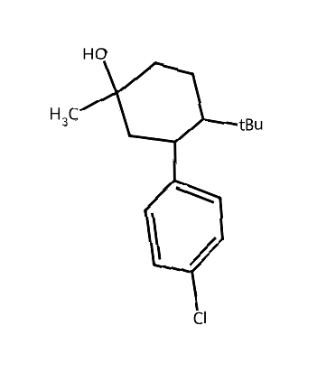 CC1(O)CCC(C(C)(C)C)C(c2ccc(Cl)cc2)C1